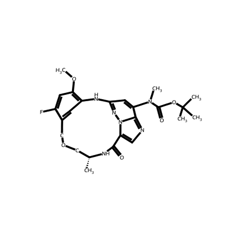 COc1cc(F)c2cc1Nc1cc(N(C)C(=O)OC(C)(C)C)c3ncc(n3n1)C(=O)N[C@H](C)COC2